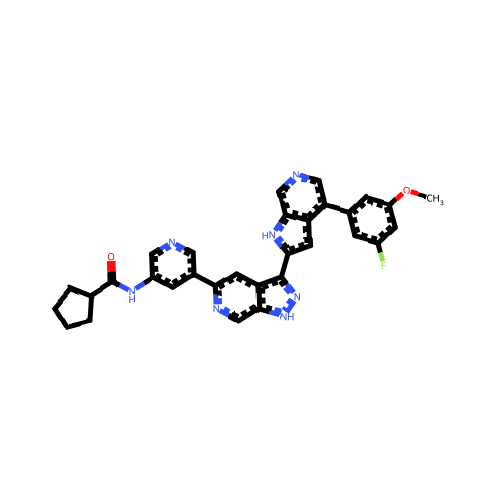 COc1cc(F)cc(-c2cncc3[nH]c(-c4n[nH]c5cnc(-c6cncc(NC(=O)C7CCCC7)c6)cc45)cc23)c1